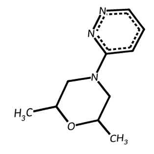 CC1CN(c2cccnn2)CC(C)O1